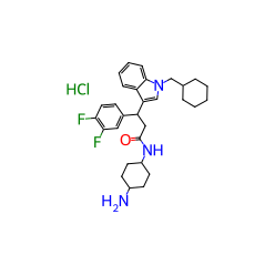 Cl.NC1CCC(NC(=O)CC(c2ccc(F)c(F)c2)c2cn(CC3CCCCC3)c3ccccc23)CC1